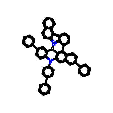 c1ccc(-c2ccc(N3c4ccc(-c5ccccc5)cc4B4c5c3cc3cc(-c6ccccc6)ccc3c5-c3cccc5c6c7ccccc7ccc6n4c35)cc2)cc1